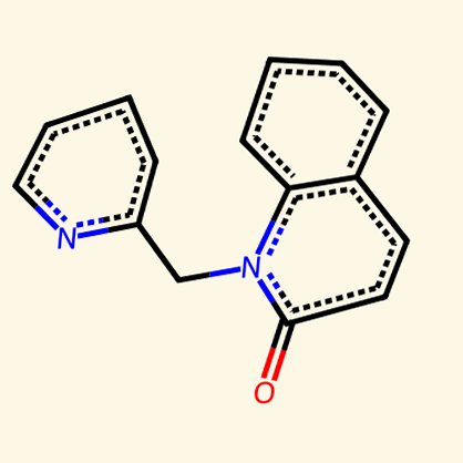 O=c1ccc2ccccc2n1Cc1ccccn1